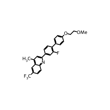 COCCOc1ccc(-c2ccc(-c3cc(C)c4cc(C(F)(F)F)ccc4n3)cc2F)cc1